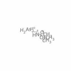 CC(C)(C)OC(=O)NCCC[AsH2]